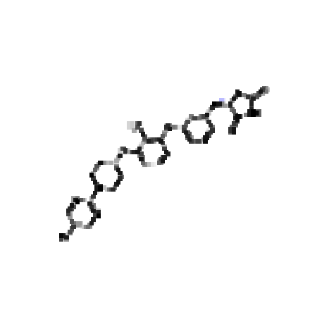 CCc1cnc(N2CCC(Oc3ncnc(Oc4cccc(/C=C5/SC(=O)NC5=O)c4)c3C)CC2)nc1